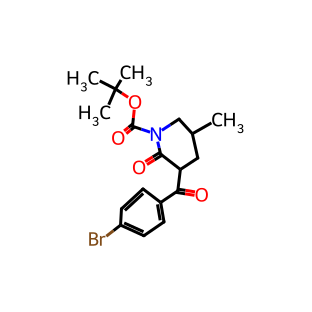 CC1CC(C(=O)c2ccc(Br)cc2)C(=O)N(C(=O)OC(C)(C)C)C1